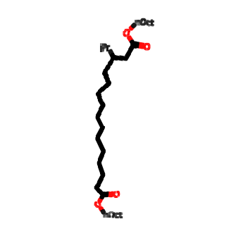 CCCCCCCCOC(=O)CCCCCCCCCCCC(CC(=O)OCCCCCCCC)C(C)C